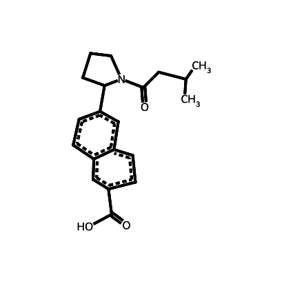 CC(C)CC(=O)N1CCCC1c1ccc2cc(C(=O)O)ccc2c1